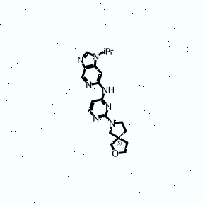 CC(C)n1cnc2cnc(Nc3ccnc(N4CC[C@]5(CCOC5)C4)n3)cc21